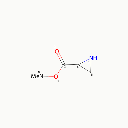 CNOC(=O)C1CN1